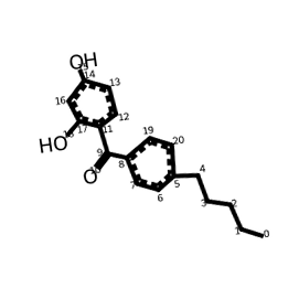 CCCCCc1ccc(C(=O)c2ccc(O)cc2O)cc1